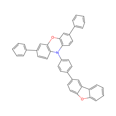 c1ccc(-c2ccc3c(c2)Oc2cc(-c4ccccc4)ccc2N3c2ccc(-c3ccc4oc5ccccc5c4c3)cc2)cc1